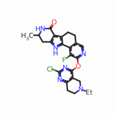 CCN1CCc2nc(Cl)nc(Oc3ncc4c(c3F)-c3[nH]c5c(c3CC4)C(=O)NC(C)C5)c2C1